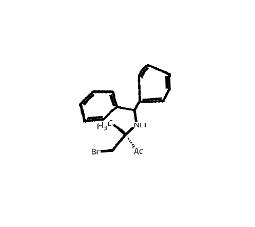 CC(=O)[C@@](C)(CBr)NC(c1ccccc1)c1ccccc1